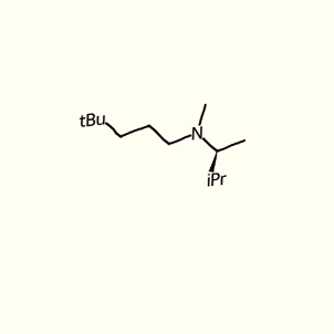 CC(C)[C@H](C)N(C)CCCC(C)(C)C